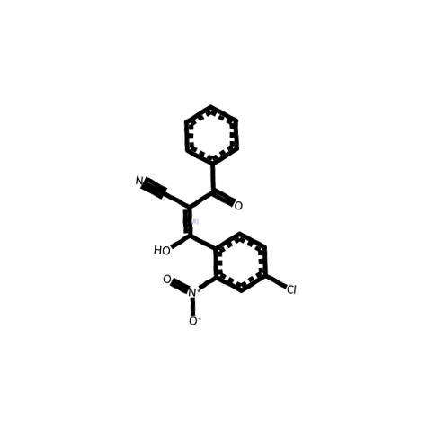 N#C/C(C(=O)c1ccccc1)=C(\O)c1ccc(Cl)cc1[N+](=O)[O-]